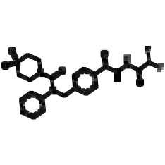 O=C(NNC(=O)C(F)F)c1ccc(CN(C(=O)N2CCS(=O)(=O)CC2)c2ccccc2)cc1